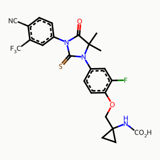 CC1(C)C(=O)N(c2ccc(C#N)c(C(F)(F)F)c2)C(=S)N1c1ccc(OCC2(NC(=O)O)CC2)c(F)c1